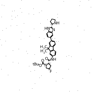 CC(C)(C)OC(=O)N1C[C@@H](F)C[C@H]1C(=O)Nc1ccc2c(c1)C(C)(C)c1cc(-c3ccc4[nH]c([C@@H]5CCCN5)nc4c3)ccc1-2